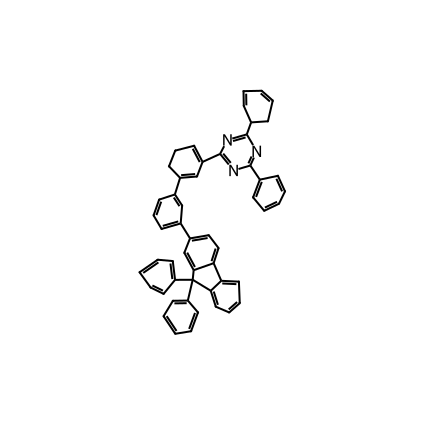 C1=CCC(c2nc(C3=CCCC(c4cccc(-c5ccc6c(c5)C(c5ccccc5)(c5ccccc5)c5ccccc5-6)c4)=C3)nc(-c3ccccc3)n2)C=C1